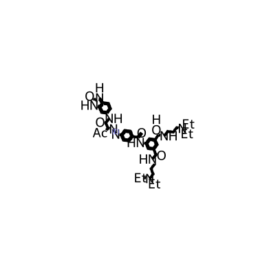 CCN(CC)CCCNC(=O)c1cc(NC(=O)c2ccc(/N=N/C(C(C)=O)C(=O)Nc3ccc4[nH]c(=O)[nH]c4c3)cc2)cc(C(O)NCCCN(CC)CC)c1